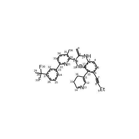 C=C(Nc1ccc(C#CCC)c(C2=CN=CCC2)c1)N(CCCC)c1nc(-c2cccc(C(C)(F)F)c2)ccc1C